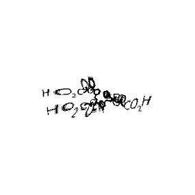 CCC(CCC12C=CC(S1)C(C(CC)(CCC1C=CCC(C3(OC(=O)CC(=O)O)CCCC3)C1)OC(=O)CC(=O)O)C2)(OC(=O)CC(=O)O)c1cc2ccc1o2